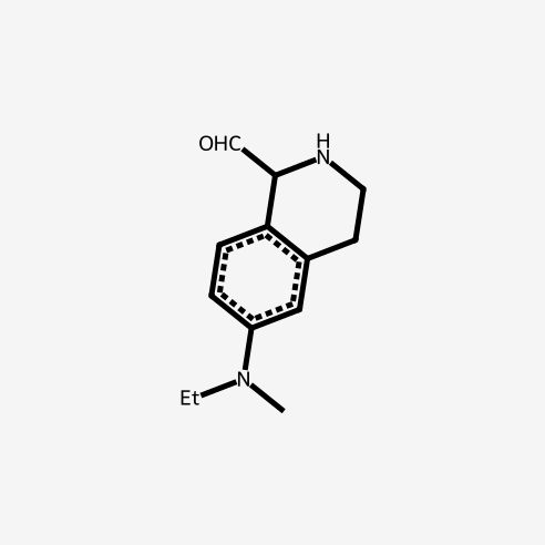 CCN(C)c1ccc2c(c1)CCNC2C=O